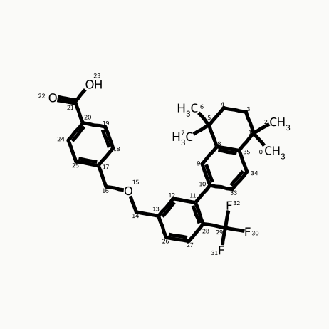 CC1(C)CCC(C)(C)c2cc(-c3cc(COCc4ccc(C(=O)O)cc4)ccc3C(F)(F)F)ccc21